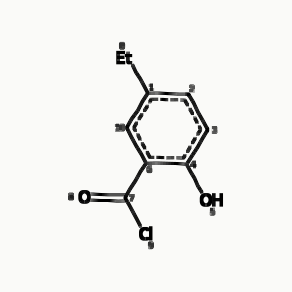 CCc1ccc(O)c(C(=O)Cl)c1